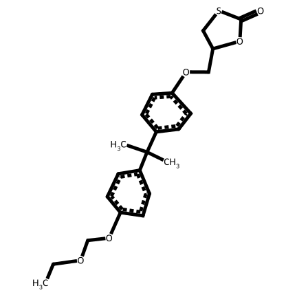 CCOCOc1ccc(C(C)(C)c2ccc(OCC3CSC(=O)O3)cc2)cc1